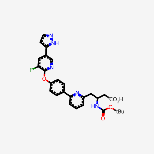 CC(C)(C)OC(=O)NC(CC(=O)O)Cc1cccc(-c2ccc(Oc3ncc(-c4ccn[nH]4)cc3F)cc2)n1